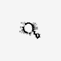 CCC1CC(C)CCCC2(C)OC2(O)C(O)C(C=Cc2ccccn2)OC(=O)CCC(C)(C)C1=O